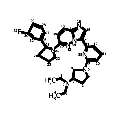 CCN(CC)C1CCN(c2cccc(-c3cnc4ccc(N5CCCC5c5cccc(F)c5)nn34)n2)C1